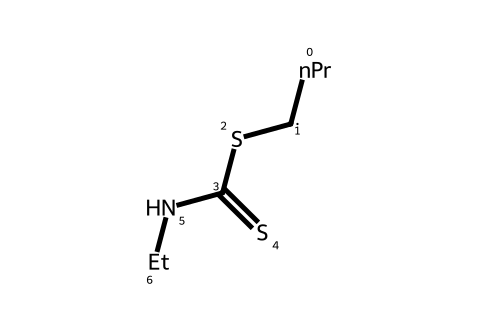 CCC[CH]SC(=S)NCC